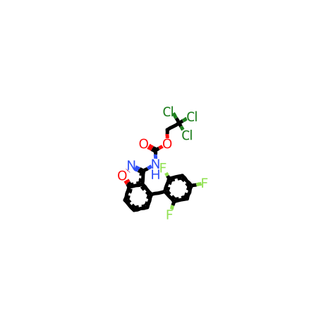 O=C(Nc1noc2cccc(-c3c(F)cc(F)cc3F)c12)OCC(Cl)(Cl)Cl